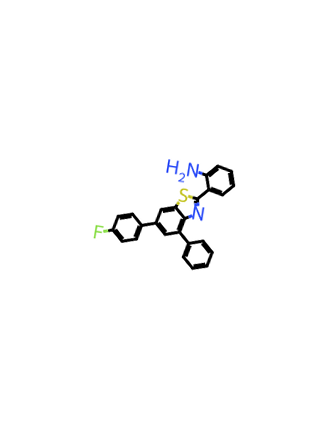 Nc1ccccc1-c1nc2c(-c3ccccc3)cc(-c3ccc(F)cc3)cc2s1